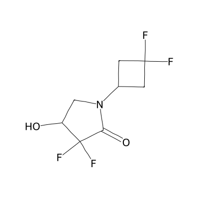 O=C1N(C2CC(F)(F)C2)CC(O)C1(F)F